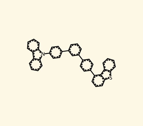 c1cc(-c2ccc(-c3cccc4sc5ccccc5c34)cc2)cc(-c2ccc(-n3c4ccccc4c4ccccc43)cc2)c1